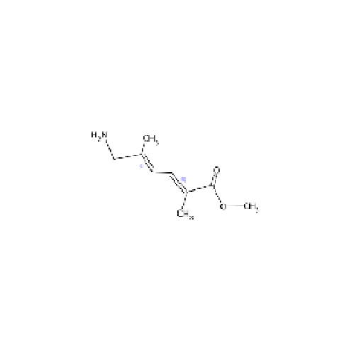 COC(=O)/C(C)=C/C=C(\C)CN